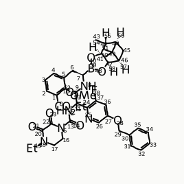 CCOC(=O)c1cccc(C[C@H](NC(=O)C(NC(=O)N2CCN(CC)C(=O)C2=O)c2ncc(OCc3ccccc3)cc2F)B2O[C@H]3[C@H](C)[C@H]4C[C@@H]([C@H]3O2)C4(C)C)c1OC